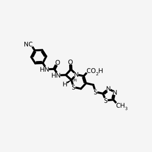 Cc1nnc(SCC2=C(C(=O)O)N3C(=O)C(NC(=O)Nc4ccc(C#N)cc4)[C@H]3SC2)s1